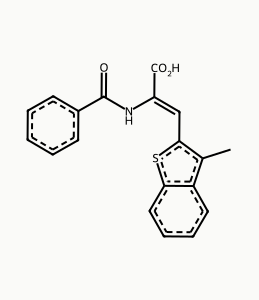 Cc1c(C=C(NC(=O)c2ccccc2)C(=O)O)sc2ccccc12